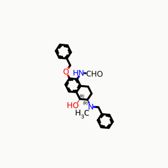 CN(Cc1ccccc1)[C@@H]1CCc2c(ccc(OCc3ccccc3)c2NC=O)[C@H]1O